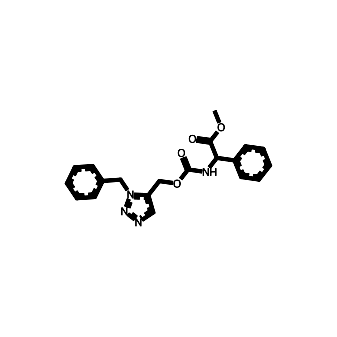 COC(=O)C(NC(=O)OCc1cnnn1Cc1ccccc1)c1ccccc1